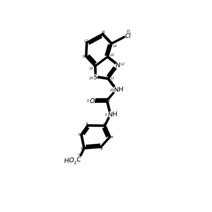 O=C(Nc1ccc(C(=O)O)cc1)Nc1nc2c(Cl)cccc2s1